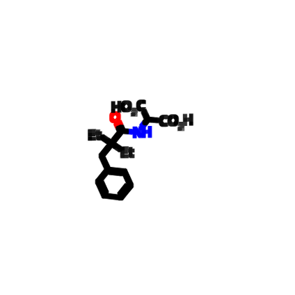 CCC(CC)(Cc1ccccc1)C(=O)NC(C(=O)O)C(=O)O